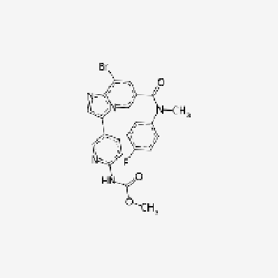 COC(=O)Nc1ccc(-c2cnc3c(Br)cc(C(=O)N(C)c4ccc(F)cc4)cn23)cn1